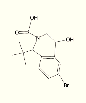 CC(C)(C)C1c2ccc(Br)cc2C(O)CN1C(=O)O